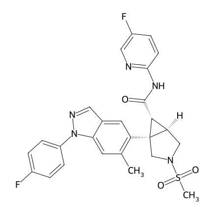 Cc1cc2c(cnn2-c2ccc(F)cc2)cc1[C@@]12CN(S(C)(=O)=O)C[C@@H]1[C@H]2C(=O)Nc1ccc(F)cn1